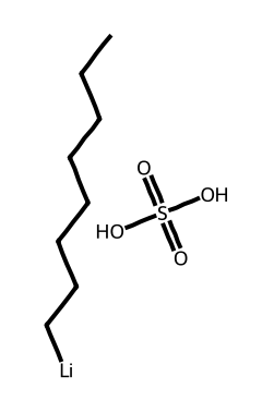 O=S(=O)(O)O.[Li][CH2]CCCCCCC